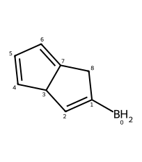 BC1=CC2C=CC=C2C1